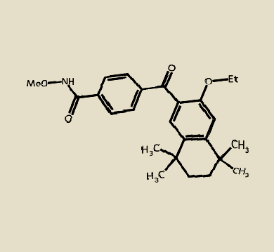 CCOc1cc2c(cc1C(=O)c1ccc(C(=O)NOC)cc1)C(C)(C)CCC2(C)C